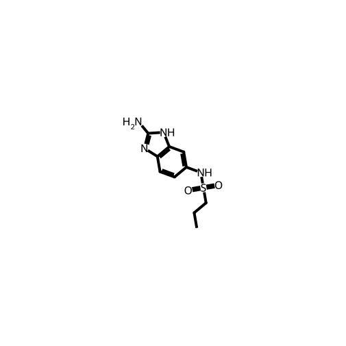 CCCS(=O)(=O)Nc1ccc2nc(N)[nH]c2c1